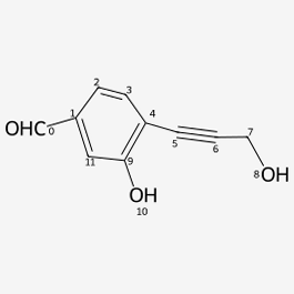 O=Cc1ccc(C#CCO)c(O)c1